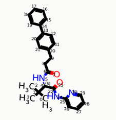 CC(C)(C)[C@H](NC(=O)C[CH]c1ccc(-c2ccccc2)cc1)C(=O)Nc1ccccn1